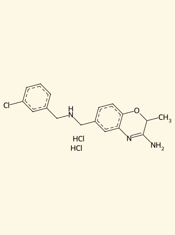 CC1Oc2ccc(CNCc3cccc(Cl)c3)cc2N=C1N.Cl.Cl